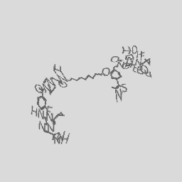 Cc1ncsc1-c1ccc(CNC(=O)[C@@H]2C[C@@H](O)CN2C(=O)[C@@H](NC(=O)C2(F)CC2)C(C)(C)C)c(OCCCCCCCCCNC(=O)CN2CCN(C(=O)c3ccc(Nc4nc(C5CC5)cn5c(-c6cn[nH]c6)cnc45)c(F)c3)CC2)c1